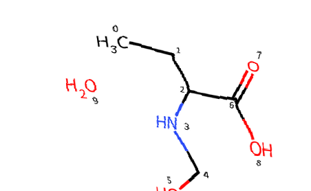 CCC(NCO)C(=O)O.O